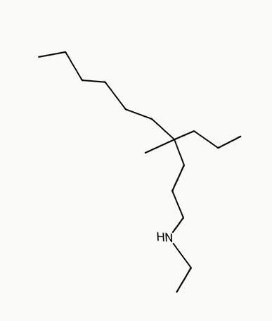 CCCCCCC(C)(CCC)CCCNCC